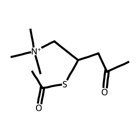 CC(=O)CC(C[N+](C)(C)C)SC(C)=O